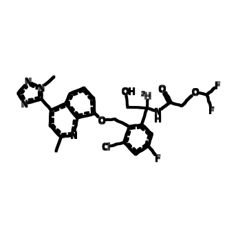 [2H]C(CO)(NC(=O)COC(F)F)c1cc(F)cc(Cl)c1COc1cccc2c(-c3ncnn3C)cc(C)nc12